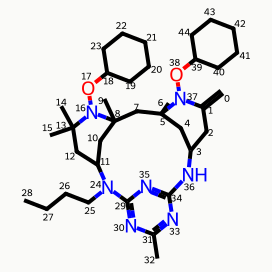 C=C1CC2CC(C)(CC3(C)CC(CC(C)(C)N3OC3CCCCC3)N(CCCC)c3nc(C)nc(n3)N2)N1OC1CCCCC1